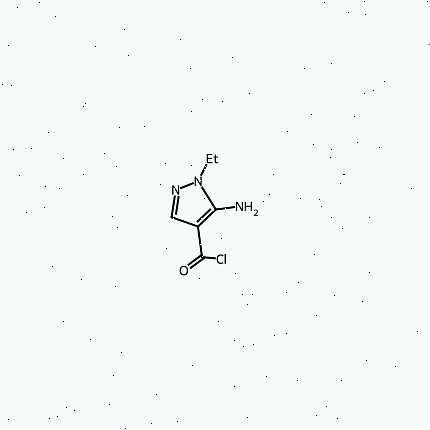 CCn1ncc(C(=O)Cl)c1N